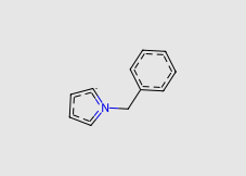 [c]1cccn1Cc1ccccc1